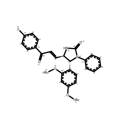 CCCCOc1ccc([C@@H]2[C@@H](/C=C/C(=O)c3ccc(F)cc3)NC(=O)N2c2ccccc2)c(OCCCC)c1